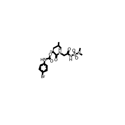 CC(C)C[C@H](OC(=O)Nc1ccc(Br)cc1)C(=O)NCC(=O)NS(=O)(=O)N(C)C